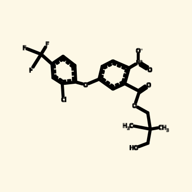 CC(C)(CO)COC(=O)c1cc(Oc2ccc(C(F)(F)F)cc2Cl)ccc1[N+](=O)[O-]